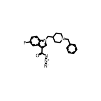 [N-]=[N+]=NC(=O)c1cn(CC2CCN(Cc3ccccc3)CC2)c2ccc(F)cc12